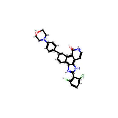 O=c1[nH]ccc2c3[nH]c(-c4c(F)cccc4Cl)nc3c3ccc(-c4ccc(N5CCOCC5)cc4)cc3c12